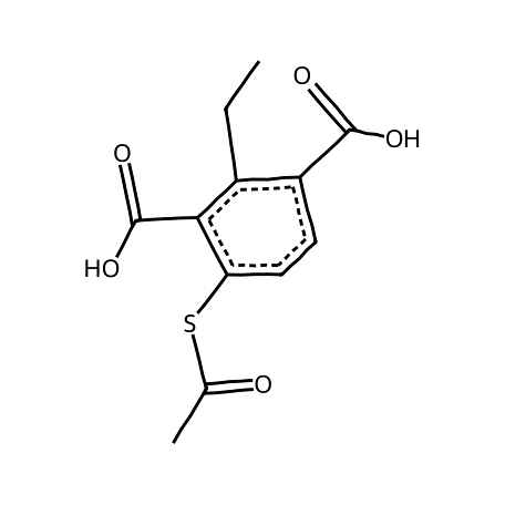 CCc1c(C(=O)O)ccc(SC(C)=O)c1C(=O)O